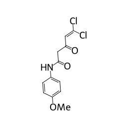 COc1ccc(NC(=O)CC(=O)C=C(Cl)Cl)cc1